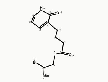 CCCCC(CC)COC(=O)CCSc1ccc[nH]c1=O